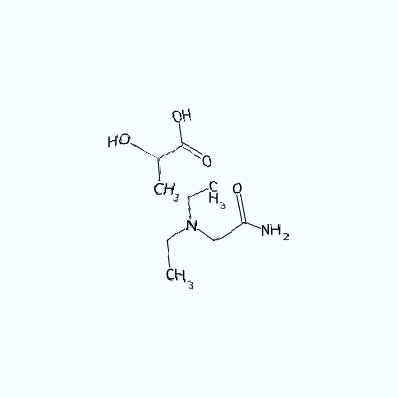 CC(O)C(=O)O.CCN(CC)CC(N)=O